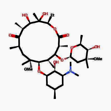 CC[C@H]1OC(=O)[C@H](C)[C@@H](O[C@H]2C[C@@](C)(OC)[C@@H](O)[C@H](C)O2)[C@H](C)[C@@H](O[C@@H]2C[C@H](C)C[C@H](N(C)C)[C@H]2O)[C@](C)(OC)C[C@@H](C)C(=O)[C@H](C)[C@@H](O)[C@]1(C)O